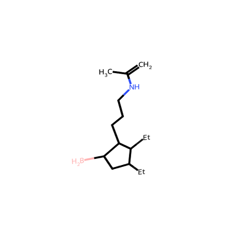 BC1CC(CC)C(CC)C1CCCNC(=C)C